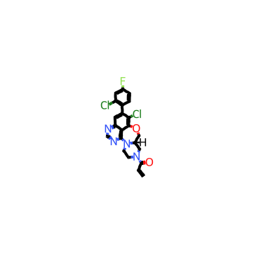 C=CC(=O)N1CCN2c3ncnc4cc(-c5ccc(F)cc5Cl)c(Cl)c(c34)OC[C@@H]2C1